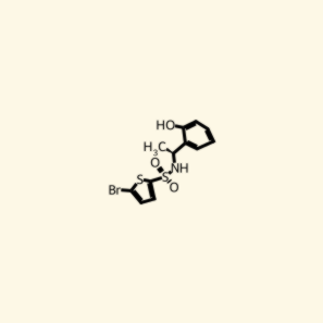 C[C@H](NS(=O)(=O)c1ccc(Br)s1)c1ccccc1O